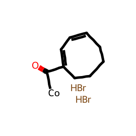 Br.Br.O=[C]([Co])C1=CC=CCCCC1